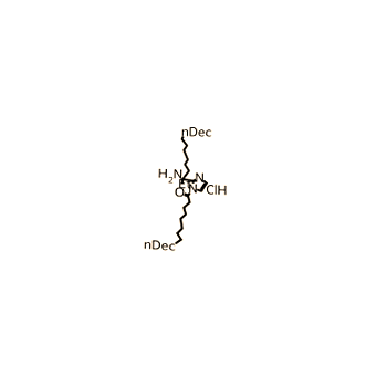 CCCCCCCCCCCCCCCCCC(=O)n1ccnc1C(N)(CC)CCCCCCCCCCCCCCCC.Cl